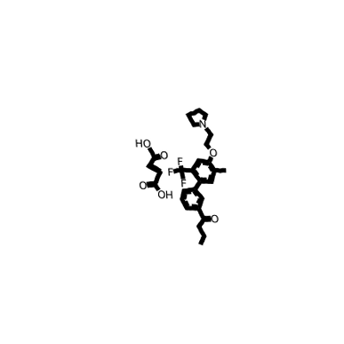 CCCC(=O)c1cccc(-c2cc(C)c(OCCN3CCCC3)cc2C(F)(F)F)c1.O=C(O)C=CC(=O)O